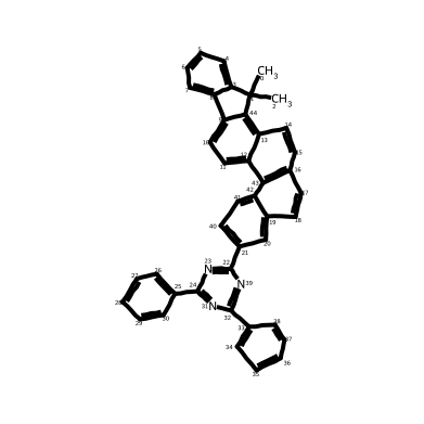 CC1(C)c2ccccc2-c2ccc3c(ccc4ccc5cc(-c6nc(-c7ccccc7)nc(-c7ccccc7)n6)ccc5c43)c21